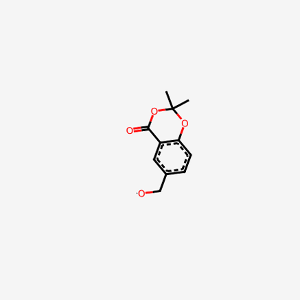 CC1(C)OC(=O)c2cc(C[O])ccc2O1